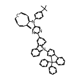 C=C1/C=C\C=C/C/C=C\C=C/1N(c1ccc(C(C)(C)C)cc1)c1cnc(-c2ccc3c(c2)c2ccccc2n3-c2ccc3c(c2)C(c2ccccc2)(c2ccccc2)c2ccccc2-3)nc1